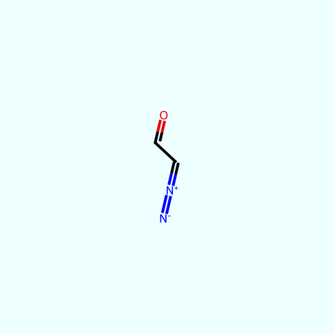 [N-]=[N+]=CC=O